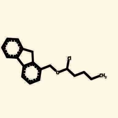 CCCCC(Cl)OCc1cccc2c1Cc1ccccc1-2